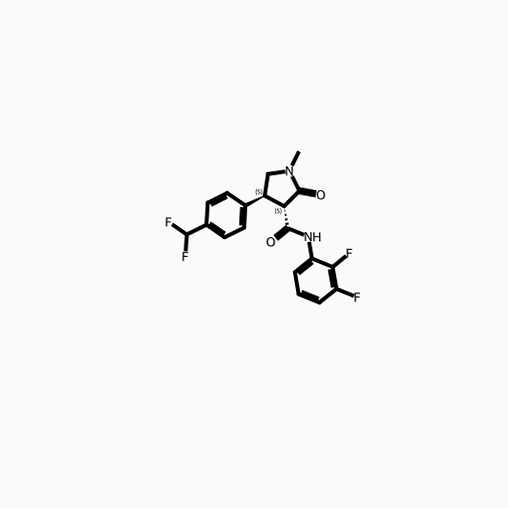 CN1C[C@H](c2ccc(C(F)F)cc2)[C@@H](C(=O)Nc2cccc(F)c2F)C1=O